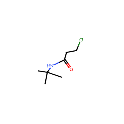 CC(C)(C)NC(=O)[CH]CCl